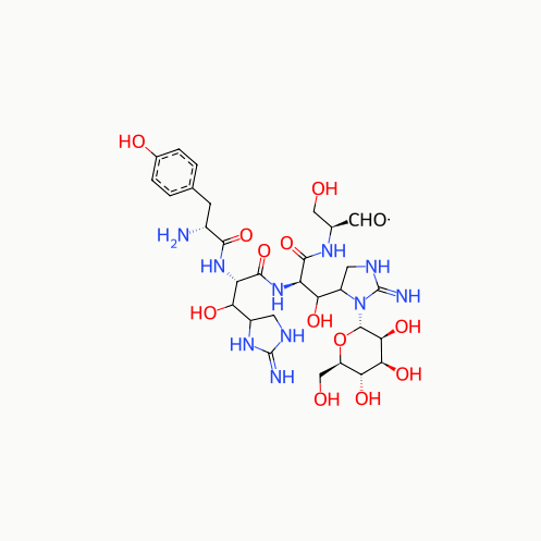 N=C1NCC(C(O)[C@H](NC(=O)[C@H](N)Cc2ccc(O)cc2)C(=O)N[C@@H](C(=O)N[C@H]([C]=O)CO)C(O)C2CNC(=N)N2[C@H]2O[C@H](CO)[C@@H](O)[C@H](O)[C@@H]2O)N1